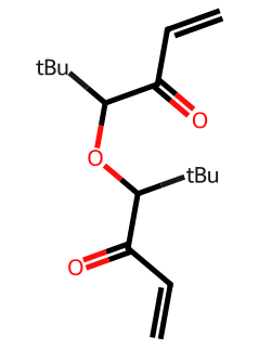 C=CC(=O)C(OC(C(=O)C=C)C(C)(C)C)C(C)(C)C